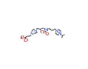 COC(=O)CCN1CCN(CC2CN(CCCN3CCN(C(C)C)CC3)C(=O)O2)CC1